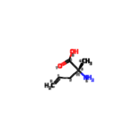 C=CC[C@@](C)(N)C(=O)O